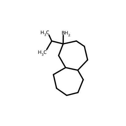 BC1(C(C)C)CCCC2CCCCCC2C1